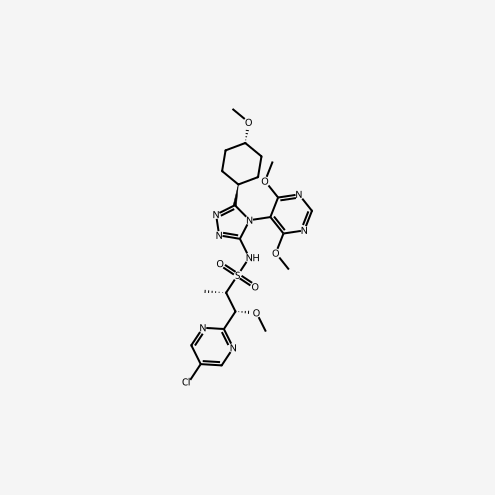 COc1ncnc(OC)c1-n1c(NS(=O)(=O)[C@@H](C)[C@H](OC)c2ncc(Cl)cn2)nnc1[C@H]1CC[C@H](OC)CC1